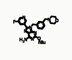 CCCCOc1nc(N)c2nc(-c3cncc(F)c3)n(Cc3cccc(CN4CCOCC4)c3)c2n1